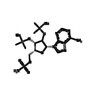 CC(C)(C)[Si](C)(C)OC1[C@@H](O[Si](C)(C)C(C)(C)C)[C@@H](COS(N)(=O)=O)O[C@H]1n1cnc2c(N)ncnc21